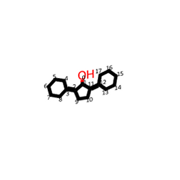 OC1C(=C2CCCCC2)CCC1=C1CCCCC1